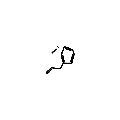 C=CCc1ccccc1.CN